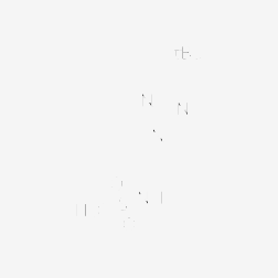 CC(C)(C)c1cnc(N2CCC(NS(C)(=O)=O)CC2)nc1